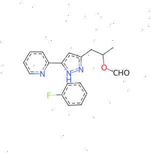 CC(Cc1cc(-c2ccccn2)[nH]n1)OC=O.Fc1ccccc1